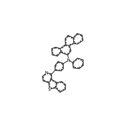 c1ccc(N(c2ccc(-c3nccc4sc5ccccc5c34)cc2)c2cc3c4ccccc4ccc3c3ccccc23)cc1